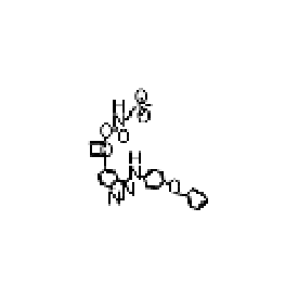 CS(=O)(=O)CCNC(=O)Oc1ccc(-c2ccc3ncnc(Nc4ccc(OCc5ccccc5)cc4)c3c2)o1